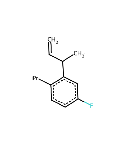 [CH2]C(C=C)c1cc(F)ccc1C(C)C